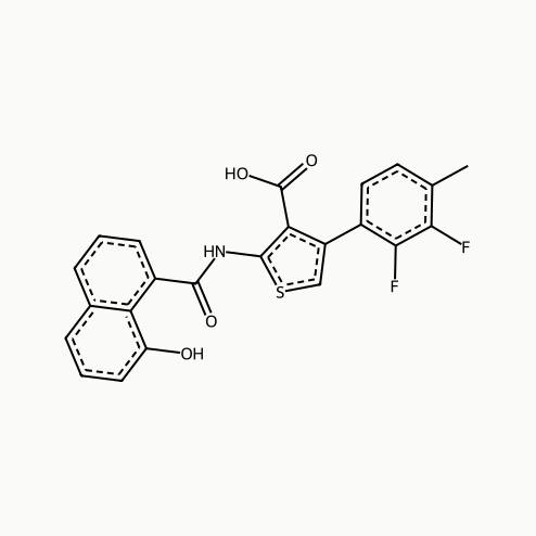 Cc1ccc(-c2csc(NC(=O)c3cccc4cccc(O)c34)c2C(=O)O)c(F)c1F